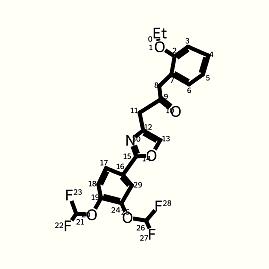 CCOc1ccccc1CC(=O)Cc1coc(-c2ccc(OC(F)F)c(OC(F)F)c2)n1